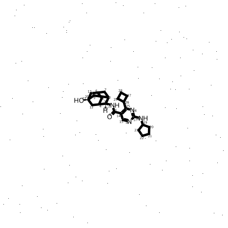 O=C(N[C@H]1C2CC3CC1C[C@@](O)(C3)C2)c1cnc(NC2CCCC2)nc1C1CCC1